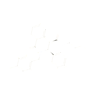 COCCNC(=O)[C@@H]1c2ccccc2C(=O)N(Cc2ccc(Cl)cc2)[C@@H]1c1ccc(Cl)cc1